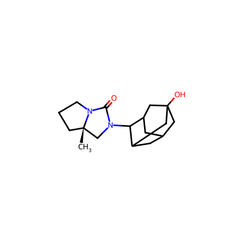 C[C@@]12CCCN1C(=O)N(C1C3CC4CC1CC(O)(C4)C3)C2